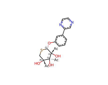 CC(=O)[C@]1(O)[C@@](O)(C(C)=O)CS[C@H](Oc2cccc(-c3cnccn3)c2)[C@@]1(O)C(C)=O